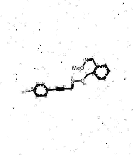 CO/N=C\c1ccccc1CO/N=C/C#Cc1ccc(F)cc1